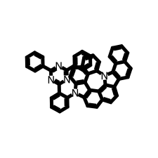 c1ccc(-c2nc(-c3ccccc3)nc(-c3ccccc3-n3c4ccc5cccc6c5c4c4c5c(ccc7c8ccc9ccccc9c8n6c75)ccc43)n2)cc1